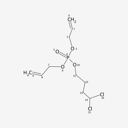 C=CCOP(=O)(OCC=C)OCCCC(Cl)Cl